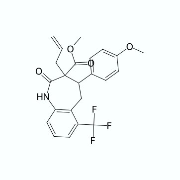 C=CCC1(C(=O)OC)C(=O)Nc2cccc(C(F)(F)F)c2CC1c1ccc(OC)cc1